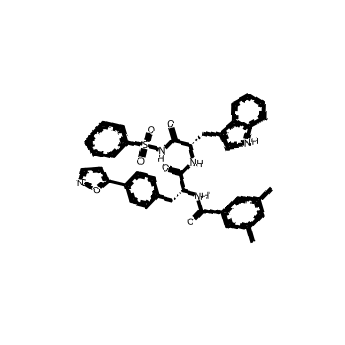 Cc1cc(C)cc(C(=O)N[C@H](Cc2ccc(-c3ccno3)cc2)C(=O)N[C@@H](Cc2c[nH]c3ccccc23)C(=O)NS(=O)(=O)c2ccccc2)c1